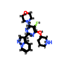 Fc1c(O[C@@H]2CCCNC2)nc(-c2cnn3ccccc23)nc1N1CCOCC1